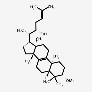 CO[C@H]1CC[C@]2(C)C3=C(CC[C@H]2C1(C)C)[C@]1(C)CC[C@H]([C@H](C)[C@@H](O)CC=C(C)C)[C@@]1(C)CC3